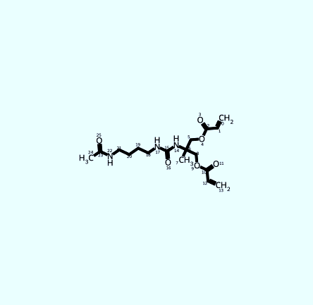 C=CC(=O)OCC(C)(COC(=O)C=C)NC(=O)NCCCCNC(C)=O